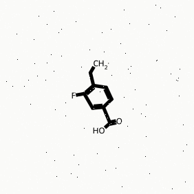 [CH2]Cc1ccc(C(=O)O)cc1F